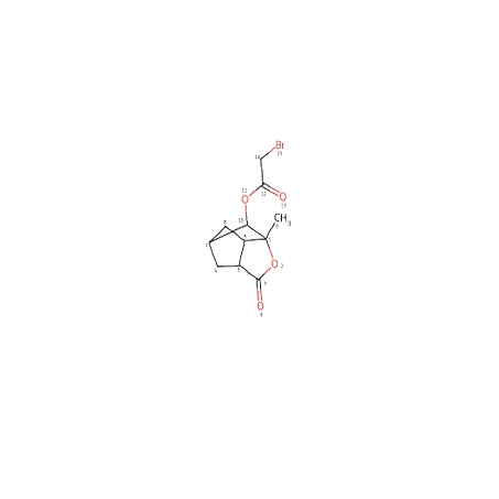 CC12OC(=O)C3CC(CC31)C2OC(=O)CBr